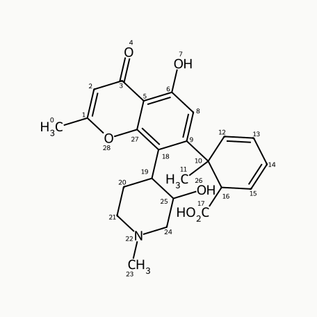 Cc1cc(=O)c2c(O)cc(C3(C)C=CC=CC3C(=O)O)c(C3CCN(C)CC3O)c2o1